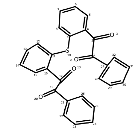 O=C(C(=O)c1ccccc1Sc1ccccc1C(=O)C(=O)c1ccccc1)c1ccccc1